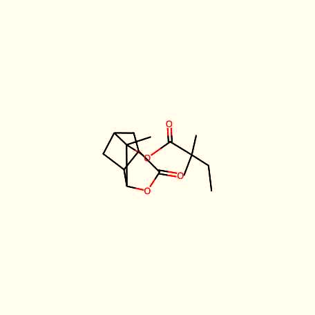 CCC(C)(C)C(=O)OC1(C)C2CC3C(=O)OC1C3C2